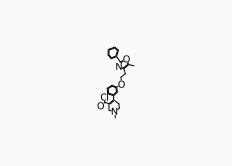 Cc1oc(-c2ccccc2)nc1CCOc1cccc(C2=C(C(=O)Cl)CN(C)CC2)c1